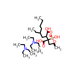 C=CCC(C(=O)O)(C(CC(CC)CCCC)C(=O)O)S(=O)(=O)O.CCN(CC)CC.CCN(CC)CC